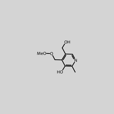 COOCc1c(CO)cnc(C)c1O